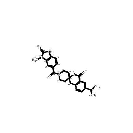 CC(C)c1ccc2c(c1)C(=O)OC1(CCN(C(=O)c3ccc4[nH]c(=O)n(C)c4c3)CC1)C2